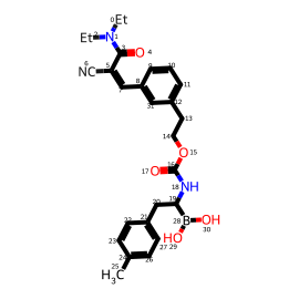 CCN(CC)C(=O)C(C#N)=Cc1cccc(CCOC(=O)NC(Cc2ccc(C)cc2)B(O)O)c1